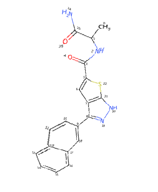 CC(NC(=O)c1cc2c(-c3ccc4ccccc4c3)n[nH]c2s1)C(N)=O